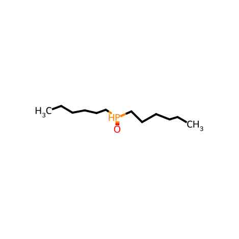 CCCCCC[PH](=O)CCCCCC